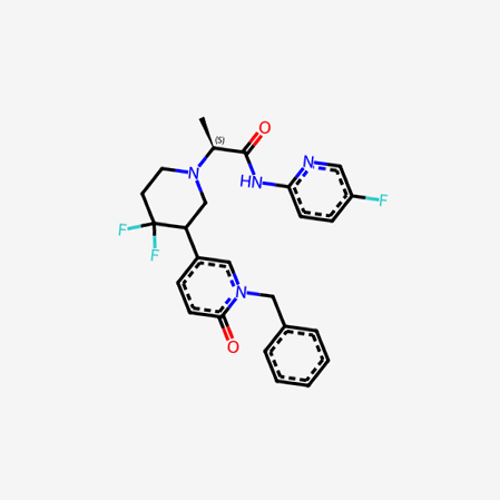 C[C@@H](C(=O)Nc1ccc(F)cn1)N1CCC(F)(F)C(c2ccc(=O)n(Cc3ccccc3)c2)C1